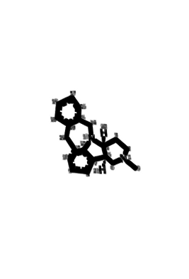 CN1CC[C@@H]2[C@@H](C1)c1cccc3c1N2Cc1ccccc1C3